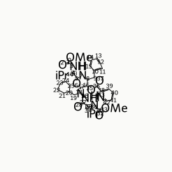 COC(=O)N[C@H](C(=O)NC(Cc1ccccc1)C(CN(CC1CCCCC1)NC(=O)[C@@H](NC(=O)OC)C(C)C)OC(=O)c1ccccn1)C(C)C